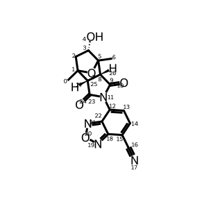 CC12C[C@H](O)C(C)(O1)[C@@H]1C(=O)N(c3ccc(C#N)c4nonc34)C(=O)[C@@H]12